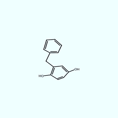 Oc1ccc(O)c(Cc2ccccc2)c1